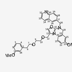 COc1cccc(CCOCCOCc2coc(N(Cc3cccc(OC)c3)Cc3ccc4ncccc4c3)n2)c1